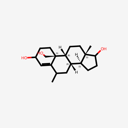 CC1C[C@@H]2[C@@H](CC[C@]3(C)C(O)CC[C@@H]23)[C@@]2(CO)CCC(O)C=C12